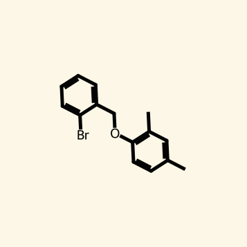 Cc1ccc(OCc2ccccc2Br)c(C)c1